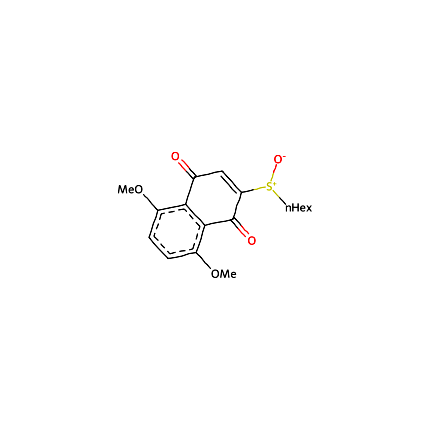 CCCCCC[S+]([O-])C1=CC(=O)c2c(OC)ccc(OC)c2C1=O